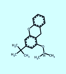 C[SiH](C)Oc1cc(C(C)(C)C)cc2c1Cc1ccccc1O2